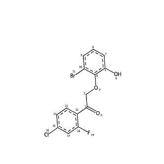 O=C(COc1c(O)cccc1Br)c1ccc(Cl)cc1F